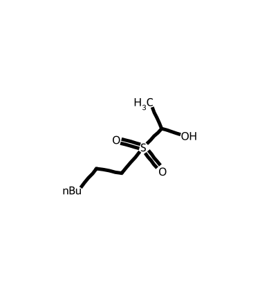 CCCCCCS(=O)(=O)C(C)O